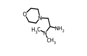 CN(C)C(N)CN1CCOCC1